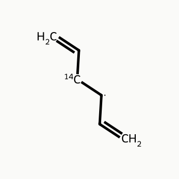 C=C[CH][14CH2]C=C